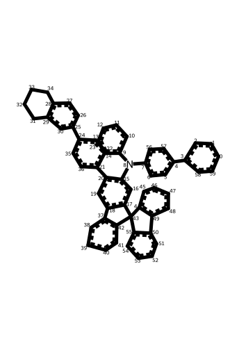 c1ccc(-c2ccc(N(c3ccccc3)c3cc4c(cc3-c3ccc(-c5ccc6c(c5)CCCC6)cc3)-c3ccccc3C43c4ccccc4-c4ccccc43)cc2)cc1